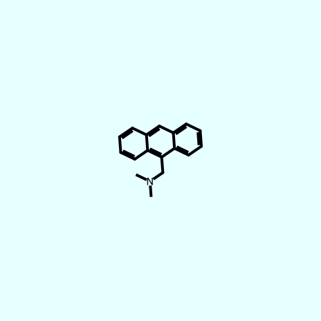 CN(C)Cc1c2ccccc2cc2ccccc12